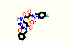 Cn1c2c(c(=O)n(Cc3ccccc3)c1=O)[S+]([O-])C(C(=O)NCc1ccc(F)cc1)C(=O)N2